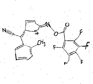 Cc1ccccc1C(C#N)=C1C=CC(=NOC(=O)c2c(F)c(F)c(F)c(F)c2F)S1